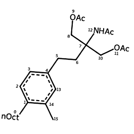 CCCCCCCCc1ccc(CCC(COC(C)=O)(COC(C)=O)NC(C)=O)cc1C